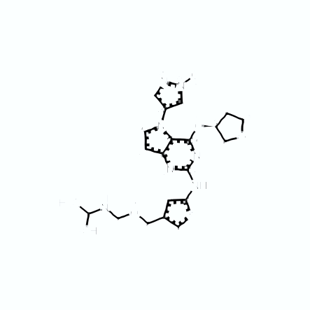 CC(C)NCOCc1csc(Nc2nc(O[C@H]3CCOC3)c3c(ccn3-c3cnn(C)c3)n2)c1